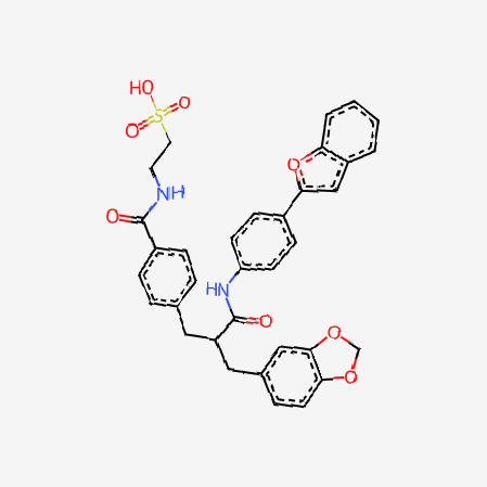 O=C(NCCS(=O)(=O)O)c1ccc(CC(Cc2ccc3c(c2)OCO3)C(=O)Nc2ccc(-c3cc4ccccc4o3)cc2)cc1